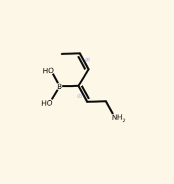 C/C=C\C(=C/CN)B(O)O